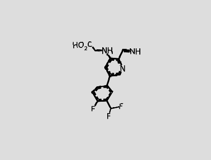 N=Cc1ncc(-c2ccc(F)c(C(F)F)c2)cc1NCC(=O)O